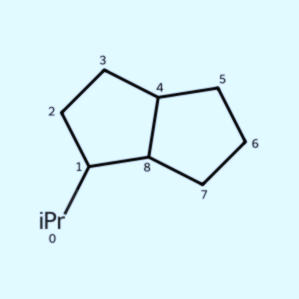 CC(C)C1CCC2CCCC21